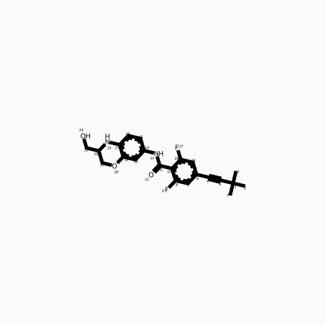 CC(C)(C)C#Cc1cc(F)c(C(=O)Nc2ccc3c(c2)OCC(CO)N3)c(F)c1